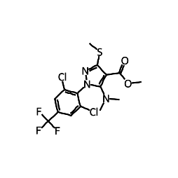 COC(=O)c1c(SC)nn(-c2c(Cl)cc(C(F)(F)F)cc2Cl)c1N(C)C